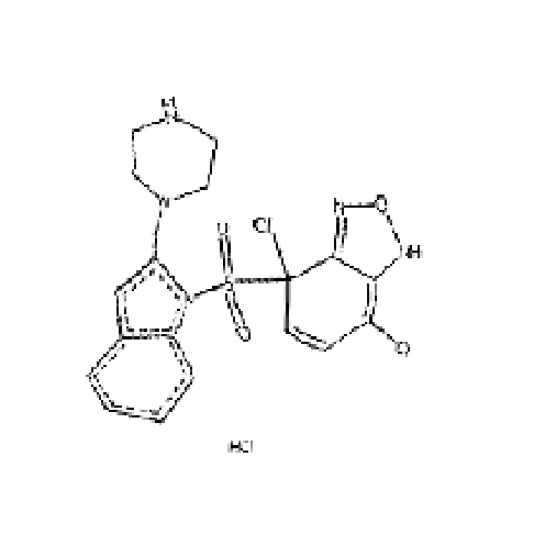 Cl.O=S(=O)(n1c(N2CCNCC2)cc2ccccc21)C1(Cl)C=CC(Cl)=C2NON=C21